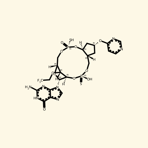 Nc1nc2c(ncn2[C@@H]2O[C@@H]3CO[P@](=O)(S)O[C@H]4C[C@H](Oc5ccncn5)C[C@@H]4CO[P@](O)(=S)O[C@@H]2[C@@H]3OCC(F)(F)F)c(=O)[nH]1